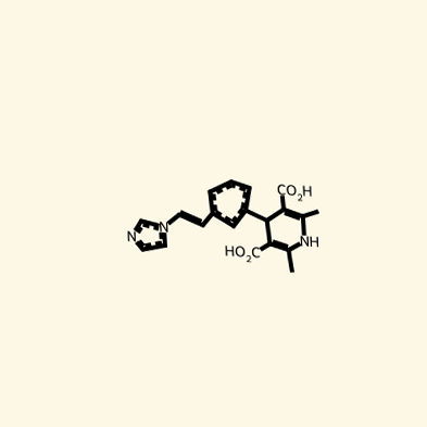 CC1=C(C(=O)O)C(c2cccc(/C=C/n3ccnc3)c2)C(C(=O)O)=C(C)N1